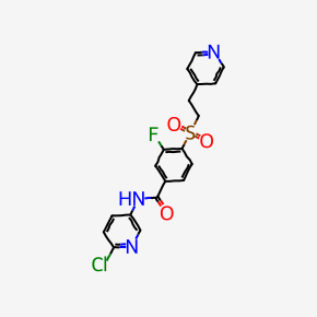 O=C(Nc1ccc(Cl)nc1)c1ccc(S(=O)(=O)CCc2ccncc2)c(F)c1